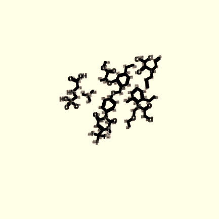 C=CCN(CC=C)C(=O)C(Cl)Cl.CCOCN(C(=O)CCl)c1c(C)cccc1CC.CCc1ccc(COc2ccc(-n3c(=O)cc(C(F)(F)F)n(C)c3=O)cc2)c(OC(C)C(=O)OC)c1.C[S+](C)C.O=C(O)CNCP(=O)([O-])O